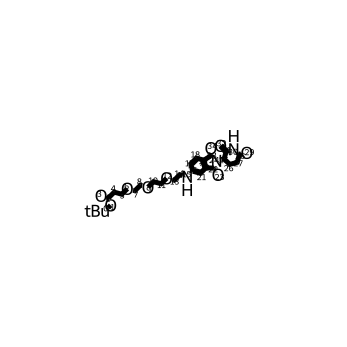 CC(C)(C)OC(=O)CCOCCOCCOCCNc1ccc2c(c1)C(=O)N(C1CCC(=O)NC1=O)C2=O